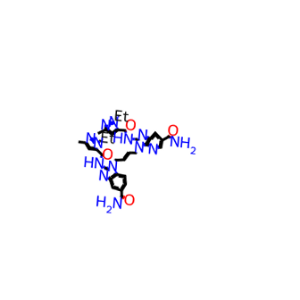 CCn1nc(C)cc1C(=O)Nc1nc2cc(C(N)=O)ccc2n1CC=CCn1c(NC(=O)c2cc(C)nn2CC)nc2cc(C(N)=O)cnc21